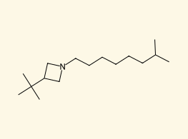 CC(C)CCCCCCN1CC(C(C)(C)C)C1